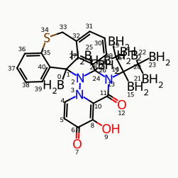 BC1(N2n3ccc(=O)c(O)c3C(=O)N(C(B)(C(B)(B)B)C(B)(B)B)C2(B)B)c2ccccc2CSc2ccccc21